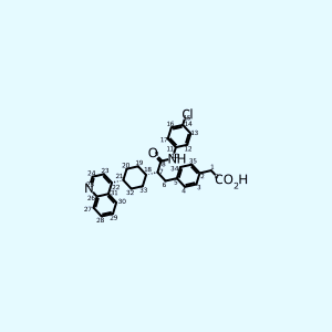 O=C(O)Cc1ccc(CC(C(=O)Nc2ccc(Cl)cc2)[C@H]2CC[C@@H](c3ccnc4ccccc43)CC2)cc1